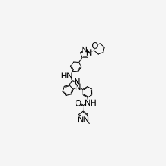 Cn1cc(C(=O)Nc2cccc(-n3nc(Nc4ccc(-c5cnn(C6CCCCO6)c5)cc4)c4ccccc43)c2)cn1